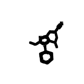 CCc1nc2c(n1-c1ccccc1)C(C)CC(C#N)=C2